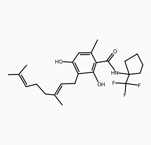 CC(C)=CCC/C(C)=C/Cc1c(O)cc(C)c(C(=O)NC2(C(F)(F)F)CCCC2)c1O